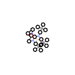 c1ccc(-c2ccccc2N2c3ccc([Si](c4ccccc4)(c4ccccc4)c4ccccc4)cc3B3c4cc([Si](c5ccccc5)(c5ccccc5)c5ccccc5)ccc4N(c4ccc([Si](c5ccccc5)(c5ccccc5)c5ccccc5)cc4)c4cc(-n5c6ccccc6c6ccccc65)cc2c43)cc1